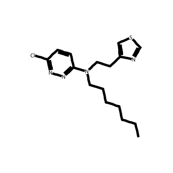 CCCCCCCN(CCc1cs[c]n1)c1ccc(Cl)nn1